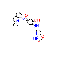 N#Cc1ccc2cccc(NC(=O)[C@@H]3CC[C@@H](NCc4ccc5c(n4)NC(=O)CO5)[C@@H](O)C3)c2n1